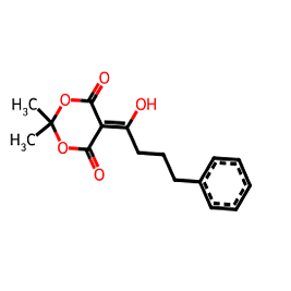 CC1(C)OC(=O)C(=C(O)CCCc2ccccc2)C(=O)O1